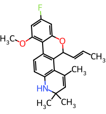 CC=CC1Oc2cc(F)cc(OC)c2-c2ccc3c(c21)C(C)=CC(C)(C)N3